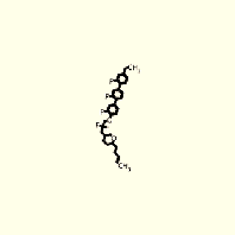 C/C=C/CCC1CCC(CC(F)(F)COc2ccc(-c3ccc(-c4ccc(CC)cc4F)cc3F)cc2F)CO1